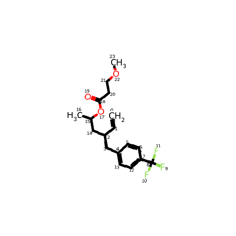 C=CC(Cc1ccc(C(F)(F)F)cc1)CC(C)OC(=O)CCOC